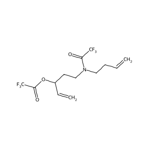 C=CCCN(CCC(C=C)OC(=O)C(F)(F)F)C(=O)C(F)(F)F